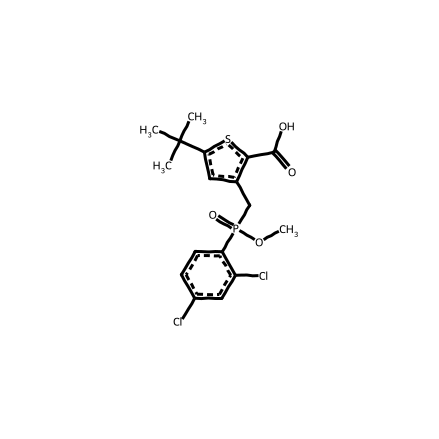 COP(=O)(Cc1cc(C(C)(C)C)sc1C(=O)O)c1ccc(Cl)cc1Cl